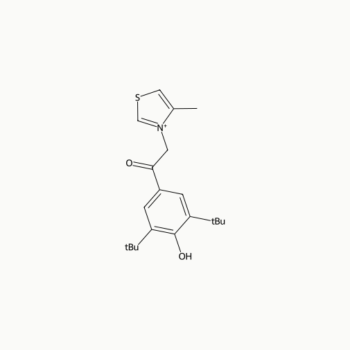 Cc1csc[n+]1CC(=O)c1cc(C(C)(C)C)c(O)c(C(C)(C)C)c1